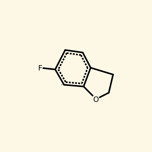 Fc1[c]c2c(cc1)CCO2